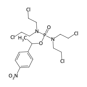 CC(OP(=O)(N(CCCl)CCCl)N(CCCl)CCCl)c1ccc([N+](=O)[O-])cc1